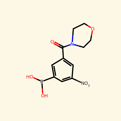 O=C(c1cc(B(O)O)cc([N+](=O)[O-])c1)N1CCOCC1